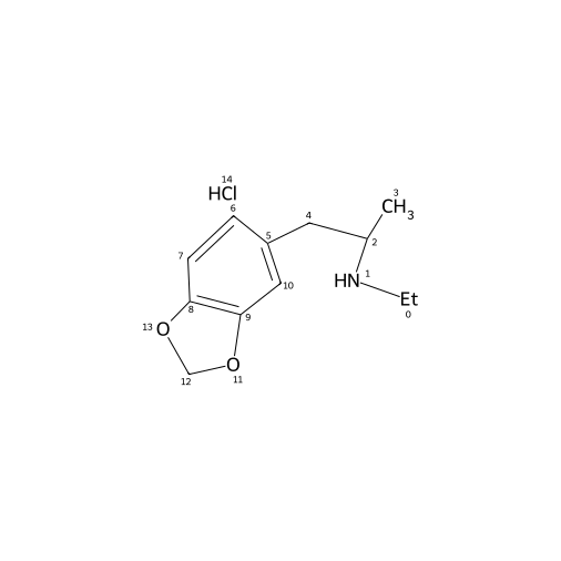 CCNC(C)Cc1ccc2c(c1)OCO2.Cl